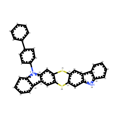 c1ccc(-c2ccc(-n3c4ccccc4c4cc5c(cc43)Sc3cc4c(cc3S5)[nH]c3ccccc34)cc2)cc1